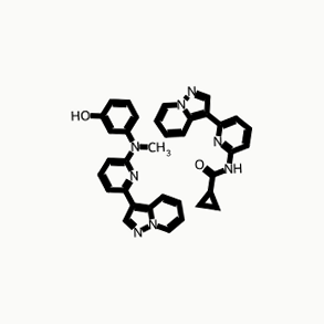 CN(c1cccc(O)c1)c1cccc(-c2cnn3ccccc23)n1.O=C(Nc1cccc(-c2cnn3ccccc23)n1)C1CC1